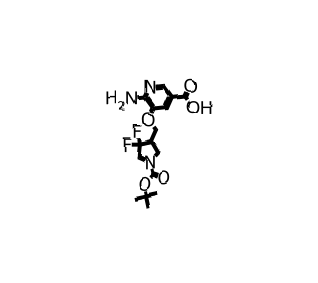 CC(C)(C)OC(=O)N1CC(COc2cc(C(=O)O)cnc2N)C(F)(F)C1